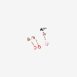 [Al+3].[O-]Br.[O-]Br.[O-]Br